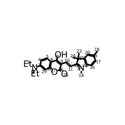 CCN(CC)c1ccc2c(O)c(/C=C/C3=[N+](C)c4ccc(C)cc4C3(C)C)c(=O)oc2c1